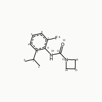 CC(C)c1cccc(F)c1NC(=O)N1CCC1